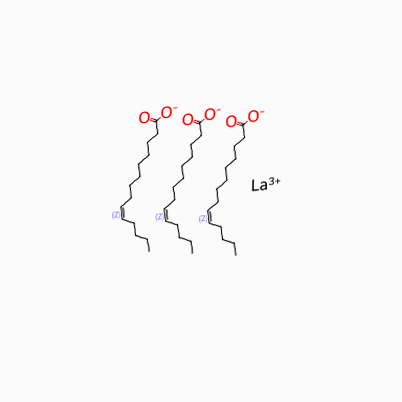 CCCC/C=C\CCCCCCCC(=O)[O-].CCCC/C=C\CCCCCCCC(=O)[O-].CCCC/C=C\CCCCCCCC(=O)[O-].[La+3]